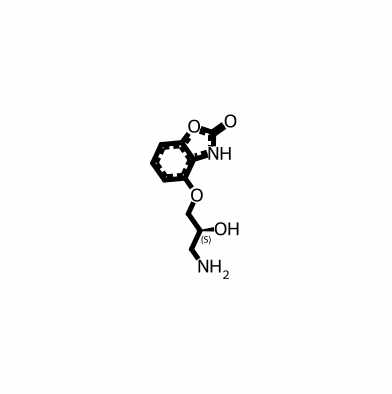 NC[C@H](O)COc1cccc2oc(=O)[nH]c12